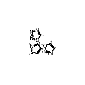 c1cnsc1.c1conn1.c1nnno1